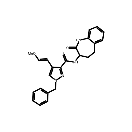 COC=Cc1cn(Cc2ccccc2)nc1C(=O)NC1CCc2ccccc2NC1=O